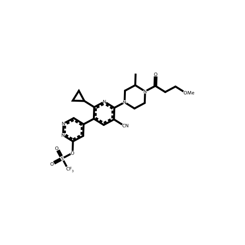 COCCC(=O)N1CCN(c2nc(C3CC3)c(-c3cnnc(OS(=O)(=O)C(F)(F)F)c3)cc2C#N)CC1C